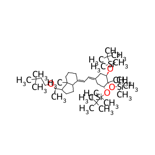 C[C@@H](OCCC(C)(C)C)C1CCC2/C(=C/C=C3C[C@@H](O[Si](C)(C)C(C)(C)C)C(C)(O[Si](C)(C)C)[C@H](O[Si](C)(C)C(C)(C)C)C3)CCCC21C